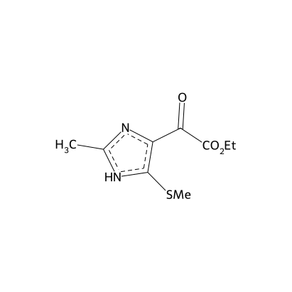 CCOC(=O)C(=O)c1nc(C)[nH]c1SC